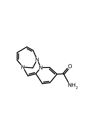 NC(=O)C1=CN2C(=CN3C=CC=CN2C3)C=C1